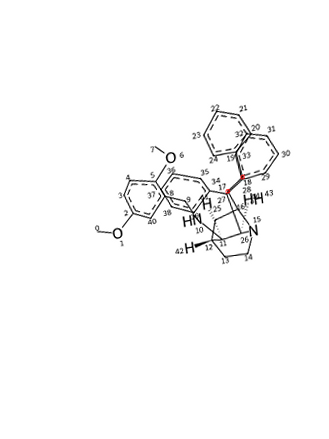 COc1ccc(OC)c(CN[C@@H]2[C@@H]3CCN([C@H](CCc4ccccc4)C3)[C@@H]2C(c2ccccc2)c2ccccc2)c1